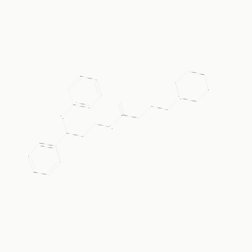 O=C(CCCN1CCCCC1)NCCC(Nc1ccccc1)c1ccccc1